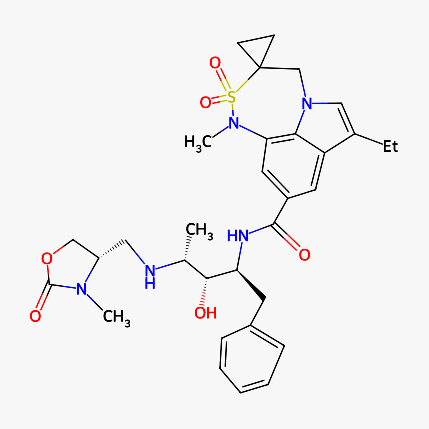 CCc1cn2c3c(cc(C(=O)N[C@@H](Cc4ccccc4)[C@H](O)[C@@H](C)NC[C@H]4COC(=O)N4C)cc13)N(C)S(=O)(=O)C1(CC1)C2